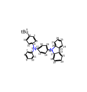 CC(C)(C)c1ccc(N(c2ccccc2)c2ccc(-n3c4ccccc4c4ccccc43)cc2)cc1